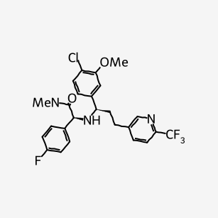 CNC(=O)[C@@H](N[C@H](CCc1ccc(C(F)(F)F)nc1)c1ccc(Cl)c(OC)c1)c1ccc(F)cc1